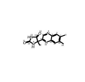 Cc1cc2ncc(C3(C)NC(=O)NC3=O)nc2cc1C